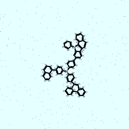 c1ccc(-n2c3cc(-c4ccc(N(c5ccc(-c6cccc7ccccc67)cc5)c5ccc(-c6cc7ccccc7c7ccccc67)cc5)cc4)ccc3c3ccc4ccccc4c32)cc1